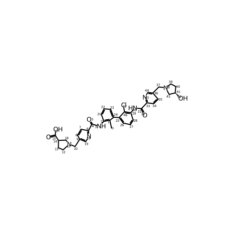 Cc1c(NC(=O)c2ccc(CN3CCC(C(=O)O)C3)cn2)cccc1-c1cccc(NC(=O)c2ccc(CN3CC[C@@H](O)C3)cn2)c1Cl